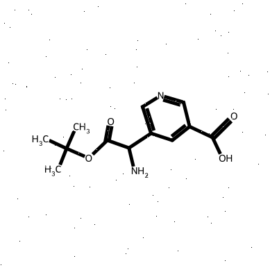 CC(C)(C)OC(=O)C(N)c1cncc(C(=O)O)c1